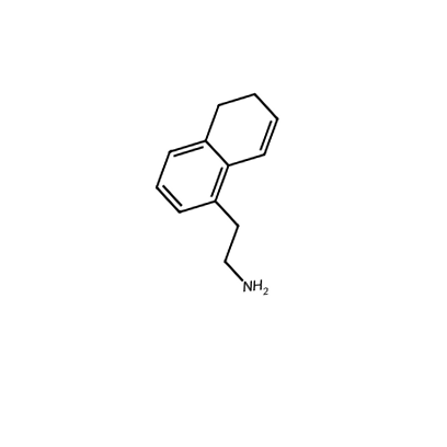 NCCc1cccc2c1C=CCC2